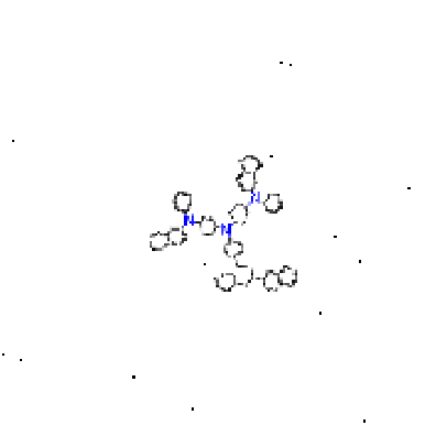 C1=C(N(c2ccc(CCC(Cc3ccccc3)c3ccc4ccccc4c3)cc2)c2ccc(N(c3ccccc3)c3ccc4ccccc4c3)cc2)CCC(N(c2ccccc2)c2ccc3ccccc3c2)=C1